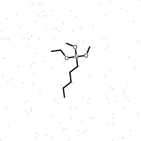 CCCC[CH][Si](OC)(OC)OCC